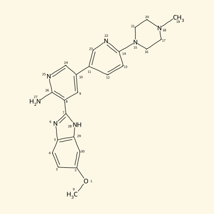 COc1ccc2nc(-c3cc(-c4ccc(N5CCN(C)CC5)nc4)cnc3N)[nH]c2c1